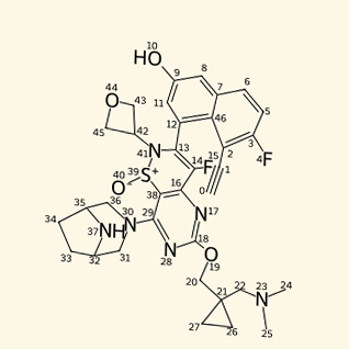 C#Cc1c(F)ccc2cc(O)cc(C3=C(F)c4nc(OCC5(CN(C)C)CC5)nc(N5CC6CCC(C5)N6)c4[S+]([O-])N3C3COC3)c12